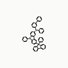 c1ccc(-c2cccc(N(c3ccccc3)c3ccc4c(c3)c3cc(C5(c6ccccc6)c6ccccc6-c6ccccc65)ccc3n4-c3ccccc3)c2)cc1